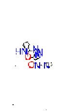 Cc1c(C(=O)N(C)CCN2CCCC2)cn2ncnc(C3C(=O)Nc4ccccc43)c12